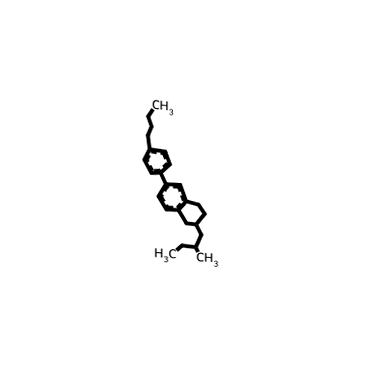 CCCCc1ccc(-c2ccc3c(c2)CCC(CC(C)CC)C3)cc1